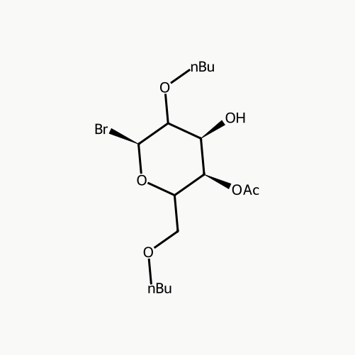 CCCCOCC1O[C@@H](Br)C(OCCCC)[C@@H](O)[C@H]1OC(C)=O